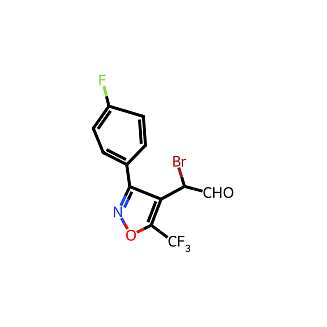 O=CC(Br)c1c(-c2ccc(F)cc2)noc1C(F)(F)F